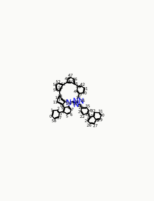 c1ccc(-c2cccc3c2c2ccc4cc2n3-c2nc(-c3ccc(-c5cccc6ccccc56)cc3)nc(n2)-c2cccc(c2)-c2cccc(c2)-c2cccc-4c2)cc1